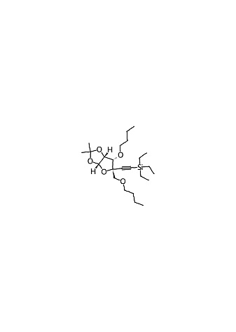 CCCCOC[C@@]1(C#C[Si](CC)(CC)CC)O[C@@H]2OC(C)(C)O[C@@H]2[C@@H]1OCCCC